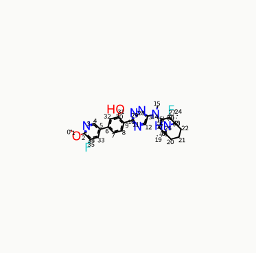 COc1ncc(-c2ccc(-c3ncc(N(C)[C@H]4C[C@]5(C)CCC[C@@](C)(N5)[C@H]4F)nn3)c(O)c2)cc1F